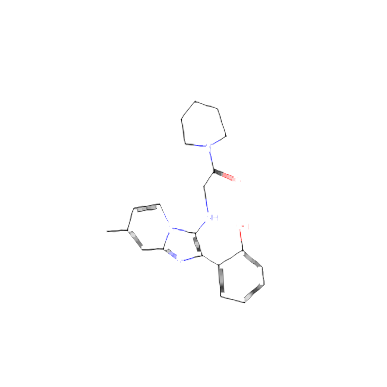 Cc1ccn2c(NCC(=O)N3CCCCC3)c(-c3ccccc3O)nc2c1